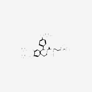 COc1ccc(C2c3cc(OC)c(OC)cc3CCN2C(=O)NCCN(C(C)C)C(C)C)cc1